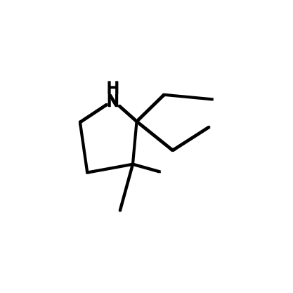 CCC1(CC)NCCC1(C)C